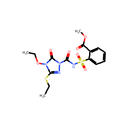 CCOn1c(SCC)nn(C(=O)NS(=O)(=O)c2ccccc2C(=O)OC)c1=O